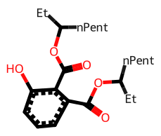 CCCCCC(CC)OC(=O)c1cccc(O)c1C(=O)OC(CC)CCCCC